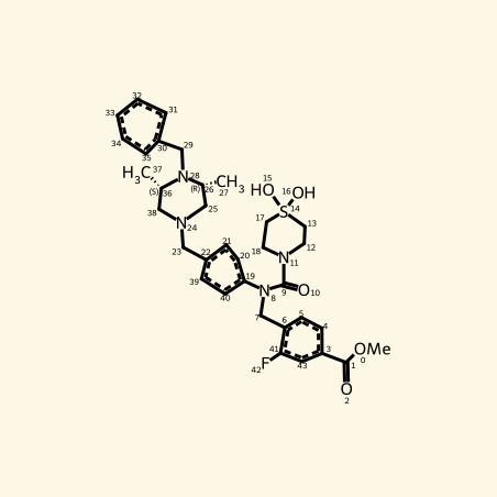 COC(=O)c1ccc(CN(C(=O)N2CCS(O)(O)CC2)c2ccc(CN3C[C@@H](C)N(Cc4ccccc4)[C@@H](C)C3)cc2)c(F)c1